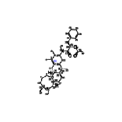 CC/C(C)=C/C[C@H]1[C@@H]2CCC[C@H](C)N(C)C[C@@H]2CC[C@@H]1[C@@H](C)CCCN(C)C(=O)[C@@H](Cc1ccccc1)OC(C)=O